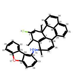 CC1C(F)=CC2(C)C3=C1C(C)(Nc1cccc4oc5ccccc5c14)C=CC3(C)c1cccc3cccc2c13